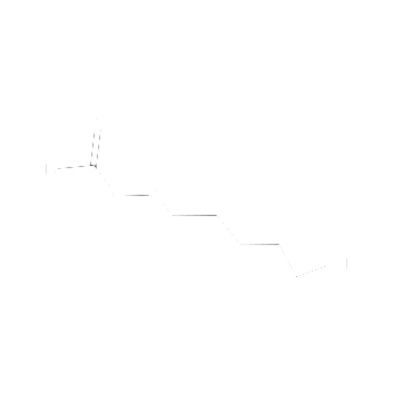 CCCCCCOOC(=S)S